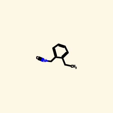 [C-]#[N+]Cc1ccccc1CC